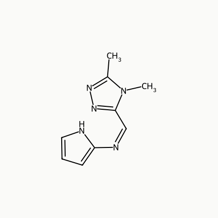 Cc1nnc(/C=N\c2ccc[nH]2)n1C